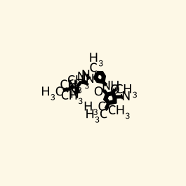 COc1c(C#N)cc(C(C)(C)C)cc1C(=O)Nc1ccc(C)c(-n2cc(-c3cnc(C(C)(C)C)n3C)nn2)c1